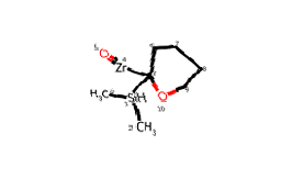 C[SiH](C)[C]1([Zr]=[O])CCCCO1